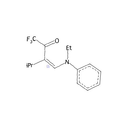 CCN(/C=C(\C(=O)C(F)(F)F)C(C)C)c1ccccc1